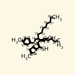 CCC=CC1=C(S)c2sc(C)cc2[Si]1(CC(CCCCCC)CCCCCCCC)c1ccc(C)cc1